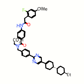 CC[C@H]1CC[C@H](C2CC=C(c3cnc(-c4ccc(CN(CC(=O)O)C(=O)c5ccc(NC(=O)Cc6ccc(OC)cc6F)cc5)cc4)nc3)CC2)CC1